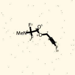 CNC(F)(F)C(=O)OCC#CF